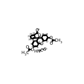 CC(=O)Oc1ccc2c(c1)Oc1cc(OC(C)=O)ccc1C21OC(=O)c2ccccc21.N=C=S